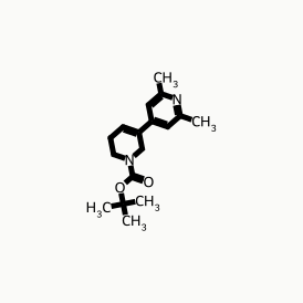 Cc1cc(C2=CCCN(C(=O)OC(C)(C)C)C2)cc(C)n1